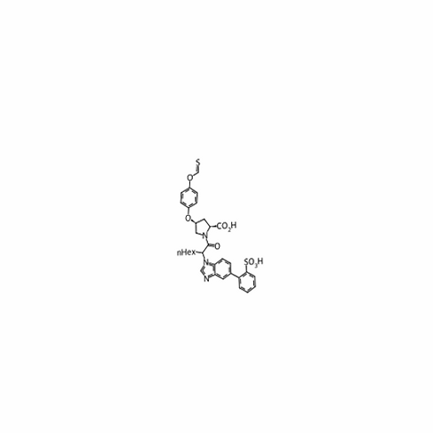 CCCCCCC(C(=O)N1C[C@@H](Oc2ccc(OC=S)cc2)C[C@H]1C(=O)O)n1cnc2cc(-c3ccccc3S(=O)(=O)O)ccc21